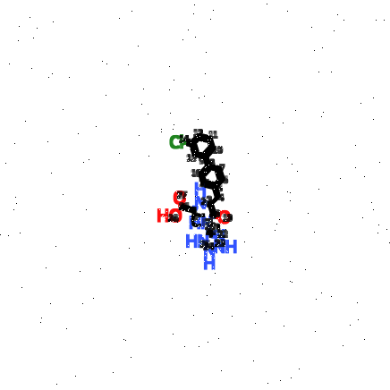 C[C@H](N[C@@H](Cc1ccc(-c2cccc(Cl)c2)cc1)C(=O)NC1=NNNN1)C(=O)O